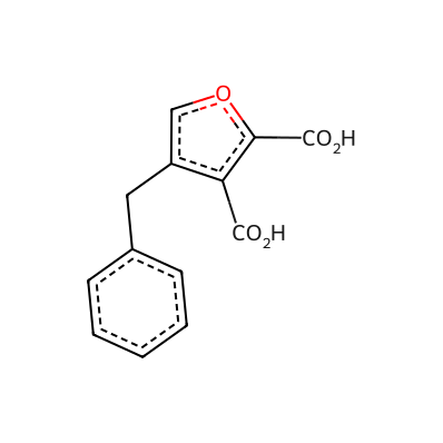 O=C(O)c1occ(Cc2ccccc2)c1C(=O)O